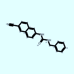 N#Cc1ccc2cc(NC(=O)NCc3ccccc3)ccc2c1